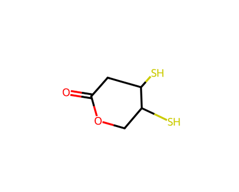 O=C1CC(S)C(S)CO1